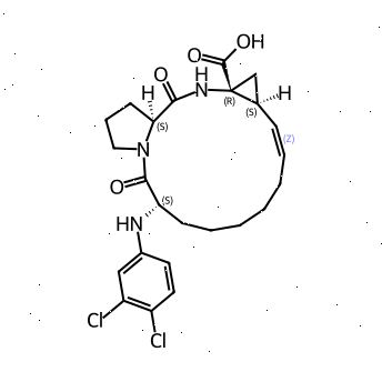 O=C1N[C@]2(C(=O)O)C[C@H]2/C=C\CCCCC[C@H](Nc2ccc(Cl)c(Cl)c2)C(=O)N2CCC[C@@H]12